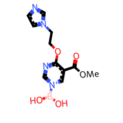 COC(=O)c1c[n+](B(O)O)cnc1OCCn1ccnc1